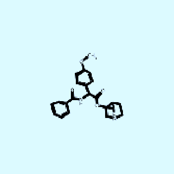 COc1ccc(C(NC(=O)c2ccccc2)C(=O)OC2CN3CCC2CC3)cc1